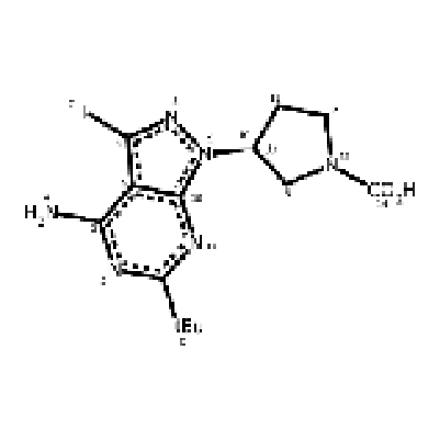 CC(C)(C)c1nc(N)c2c(I)nn([C@H]3CCN(C(=O)O)C3)c2n1